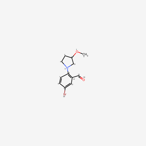 COC1CCN(c2ccc(Br)cc2C=O)C1